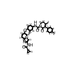 CC1=C(c2ccc(F)cc2)C(=O)N(C(=O)Nc2ccc(Oc3ccc4nc(NC(=O)C5CC5)cn4c3)c(F)c2)CC1